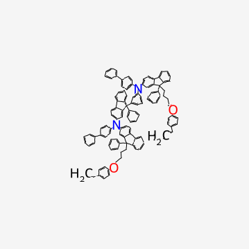 C=Cc1ccc(OCCCCC2(c3ccccc3)c3ccccc3-c3ccc(N(c4ccc(-c5ccccc5)cc4)c4cccc(C5(c6ccccc6)c6ccccc6-c6ccc(N(c7ccc(-c8ccccc8)cc7)c7ccc8c(c7)C(CCCCOc7ccc(C=C)cc7)(c7ccccc7)c7ccccc7-8)cc65)c4)cc32)cc1